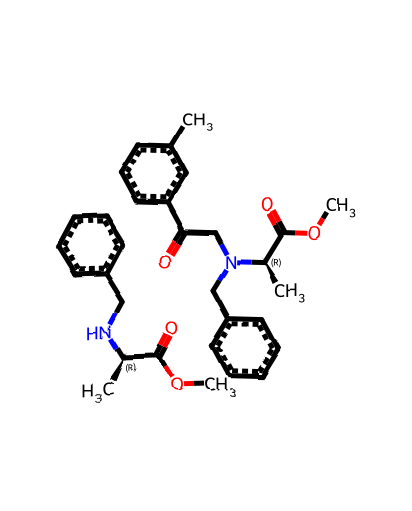 COC(=O)[C@@H](C)N(CC(=O)c1cccc(C)c1)Cc1ccccc1.COC(=O)[C@@H](C)NCc1ccccc1